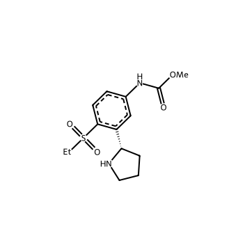 CCS(=O)(=O)c1ccc(NC(=O)OC)cc1[C@@H]1CCCN1